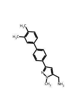 Cc1ccc(-c2ccc(-c3cc(CN)n(C)n3)cc2)cc1C